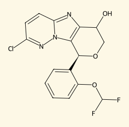 OC1CO[C@@H](c2ccccc2OC(F)F)c2c1nc1ccc(Cl)nn21